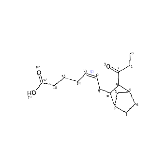 CCC(=O)C1C2CCC(C2)C1C/C=C\CCCC(=O)O